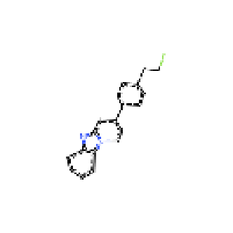 FCCc1ccc(-c2ccn3c(c2)nc2ccccc23)cc1